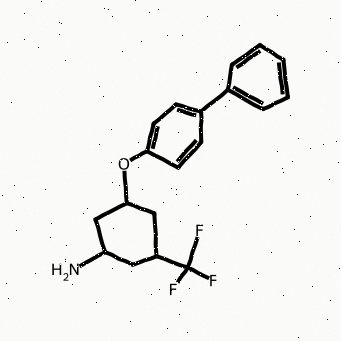 NC1CC(Oc2ccc(-c3ccccc3)cc2)CC(C(F)(F)F)C1